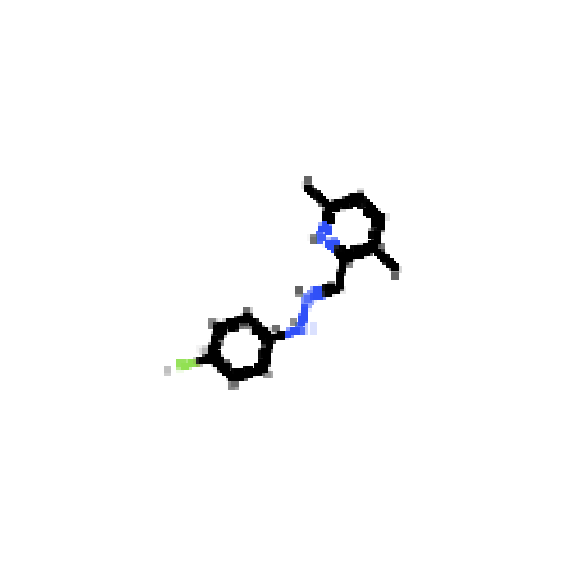 Cc1ccc(C)c(/C=N/Nc2ccc(F)cc2)n1